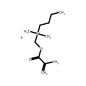 C=C(C)C(=O)OC[N+](C)(C)CCCC.[F-]